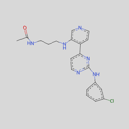 CC(=O)NCCCNc1cnccc1-c1ccnc(Nc2cccc(Cl)c2)n1